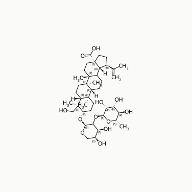 C=C(C)[C@@H]1CC[C@]2(C(=O)O)CC[C@]3(C)C(CC[C@@H]4[C@@]5(C)CC[C@H](O[C@@H]6OC[C@H](O)[C@H](O)C6O[C@@H]6O[C@@H](C)[C@H](O)[C@@H](O)[C@H]6O)[C@@](C)(CO)[C@@H]5CC[C@]43C)[C@@H]12